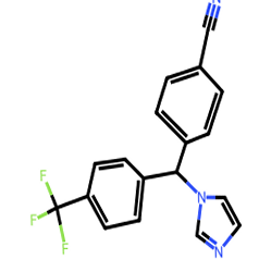 N#Cc1ccc(C(c2ccc(C(F)(F)F)cc2)n2ccnc2)cc1